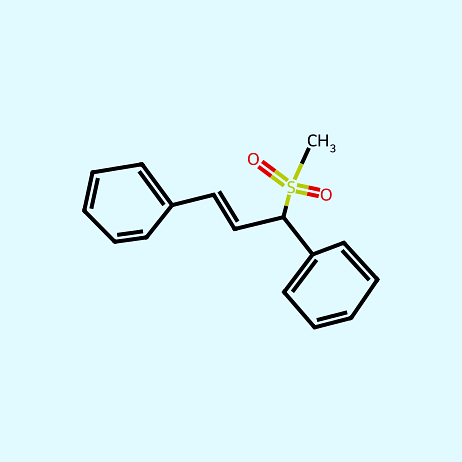 CS(=O)(=O)C(C=Cc1ccccc1)c1ccccc1